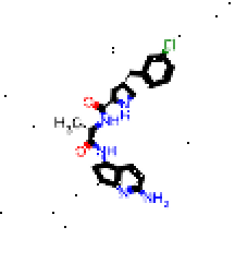 C[C@H](NC(=O)[C@H]1C[C@H](Cc2cccc(Cl)c2)CN1)C(=O)N[C@@H]1CCc2nc(N)ccc21